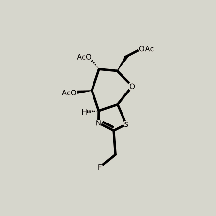 CC(=O)OC[C@H]1OC2SC(CF)=N[C@H]2[C@@H](OC(C)=O)[C@@H]1OC(C)=O